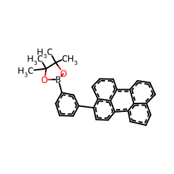 CC1(C)OB(c2cccc(-c3ccc4c5cccc6cccc(c7cccc3c74)c65)c2)OC1(C)C